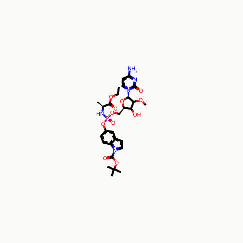 CCOC(=O)[C@H](C)NP(=O)(OC[C@H]1O[C@@H](n2ccc(N)nc2=O)C(OC)C1O)Oc1ccc2c(ccn2C(=O)OC(C)(C)C)c1